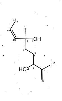 C=C(I)C(O)CC[C@](C)(O)/C=C\C